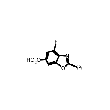 CC(C)c1nc2c(F)cc(C(=O)O)cc2o1